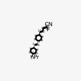 CCC[C@H]1CC[C@H](C=C[C@H]2CC[C@H](C=CC=C(F)C#N)CC2)CC1